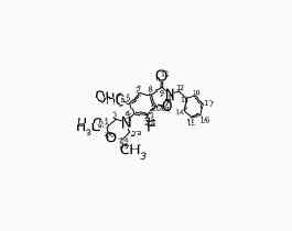 C[C@@H]1CN(c2c(C=O)cc3c(=O)n(Cc4ccccc4)oc3c2F)C[C@H](C)O1